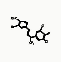 O=Cc1ccc(/C=C/C(c2cc(Cl)c(F)c(Cl)c2)C(F)(F)F)cc1Br